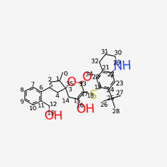 CC(C)C1(CCc2ccccc2CO)CC(O)=C(Sc2cc3c(cc2C(C)(C)C)NCCC3)C(=O)O1